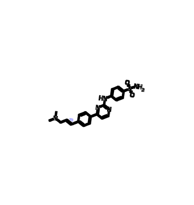 CN(C)C/C=C/c1ccc(-c2ccnc(Nc3ccc(S(N)(=O)=O)cc3)n2)cc1